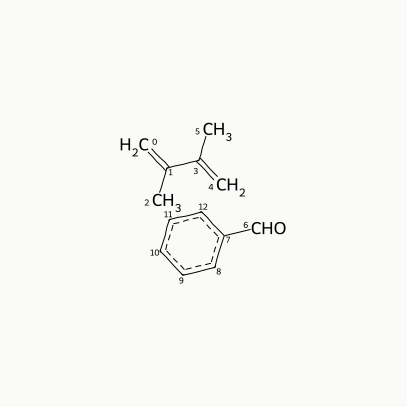 C=C(C)C(=C)C.O=Cc1ccccc1